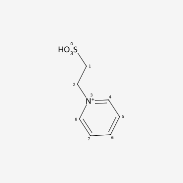 O=S(=O)(O)CC[n+]1ccccc1